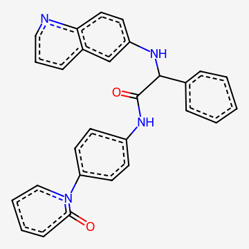 O=C(Nc1ccc(-n2ccccc2=O)cc1)C(Nc1ccc2ncccc2c1)c1ccccc1